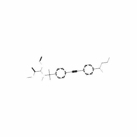 C=CNC(C(=C)NC)N(C)C(C)(C)c1ccc(C#Cc2ccc(C(C)CCC)cc2)cc1